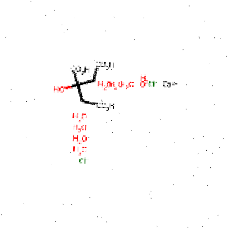 O.O.O.O.O.O.O.O.O=C(O)CC(O)(CC(=O)O)C(=O)O.[Ca+2].[Cl-].[Cl-]